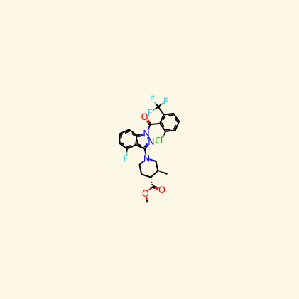 COC(=O)[C@@H]1CCN(c2nn(C(=O)c3c(Cl)cccc3C(F)(F)F)c3cccc(F)c23)C[C@H]1C